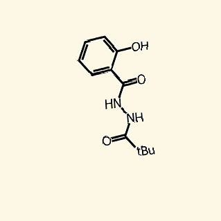 CC(C)(C)C(=O)NNC(=O)c1ccccc1O